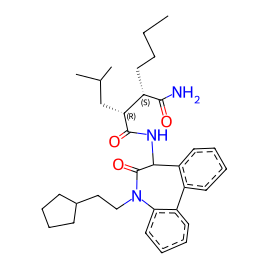 CCCC[C@H](C(N)=O)[C@@H](CC(C)C)C(=O)NC1C(=O)N(CCC2CCCC2)c2ccccc2-c2ccccc21